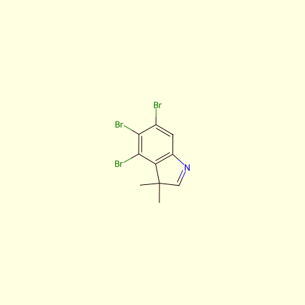 CC1(C)C=Nc2cc(Br)c(Br)c(Br)c21